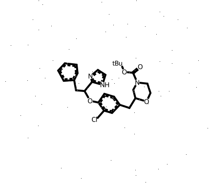 CC(C)(C)OC(=O)N1CCOC(Cc2ccc(OC(Cc3ccccc3)c3ncc[nH]3)c(Cl)c2)C1